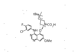 COc1cc(OC[C@H]2C[C@H](O[Si](C)(C)C(C)(C)C)CN2C(=O)O)c2c(Nc3ccc(F)c(Cl)c3)ncnc2c1